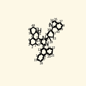 CC1CC=CC2=C1C(c1cc(-c3cc4ccccc4c4ccccc34)nc(C3(C)C=CC(c4nccc5ccccc45)=CC3)n1)C[C@@H]1CCC=CC21